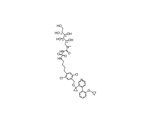 CN(C[C@H](O)[C@@H](O)[C@H](O)[C@H](O)CO)C(=O)NS(=O)(=O)NCCCCc1cc(Cl)c(COC2(c3cnccc3-c3ccccc3OC3CC3)CC2)cc1Cl